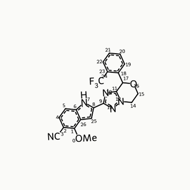 COc1c(C#N)ccc2[nH]c(-c3nc4n(n3)CCOC4c3ccccc3C(F)(F)F)cc12